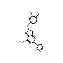 Cc1ccc(CN2CC34C=CC=C3N(c3ccsn3)C=C(N)C4=N2)cc1F